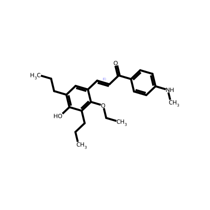 CCCc1cc(/C=C/C(=O)c2ccc(NC)cc2)c(OCC)c(CCC)c1O